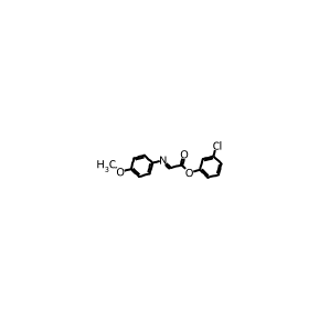 COc1ccc(N=CC(=O)Oc2cccc(Cl)c2)cc1